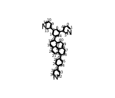 c1cncc(-c2cc(-c3cccnc3)cc(-c3ccc4ccc5c(-c6ccc(-c7ccncc7)cc6)ccc6ccc3c4c65)c2)c1